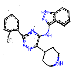 FC(F)(F)c1ccccc1-c1nnc(C2CCNCC2)c(Nc2n[nH]c3ccccc23)n1